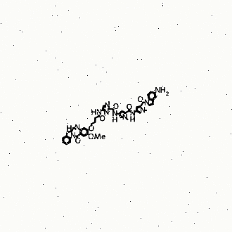 COc1cc2c(cc1OCCCC(=O)Nc1cn(C)c(C(=O)Nc3cc(C(=O)Nc4cc(C(=O)n5ccc6cc(N)ccc65)n(C)c4)n(C)c3)n1)N=C[C@@H]1Cc3ccccc3N1C2=O